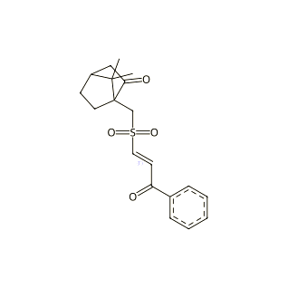 CC1(C)C2CCC1(CS(=O)(=O)/C=C/C(=O)c1ccccc1)C(=O)C2